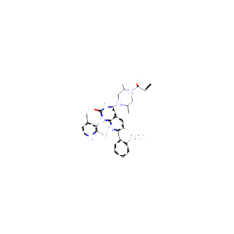 C=CC(=O)N1CC(C)N(c2nc(=O)n(-c3c(C)ccnc3C(C)C)c3nc(-c4ccccc4NC)c(Cl)cc23)CC1C